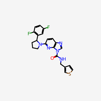 O=C(NCc1ccsc1)n1cnc2ccc(N3CCCC3c3cc(F)ccc3F)nc21